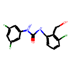 O=C(Nc1cc(F)cc(Cl)c1)Nc1cccc(Br)c1CO